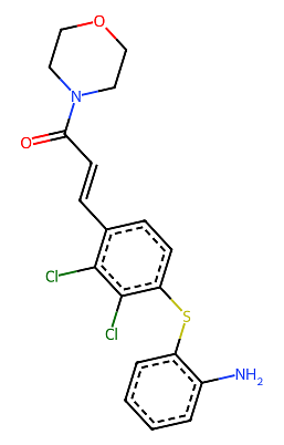 Nc1ccccc1Sc1ccc(C=CC(=O)N2CCOCC2)c(Cl)c1Cl